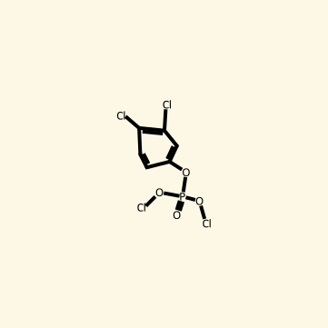 O=P(OCl)(OCl)Oc1ccc(Cl)c(Cl)c1